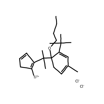 CCCCOC1(C(C)(C)C2=[C]([Ti+2])CC=C2)CC=C(C)C=C1C(C)(C)C.[Cl-].[Cl-]